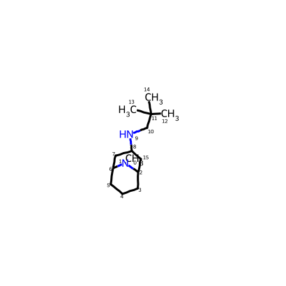 CN1C2CCCC1CC(NCC(C)(C)C)C2